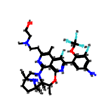 Cc1c(CCN(C)CCO)nc2c3c(nc(-c4cc(N)cc(F)c4OC(F)(F)F)c(F)c13)O[C@@H](C)[C@@H]1[C@@H]3CC[C@H](CN21)N3